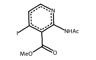 COC(=O)c1c(I)ccnc1NC(C)=O